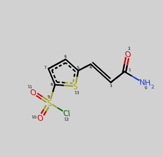 NC(=O)C=Cc1ccc(S(=O)(=O)Cl)s1